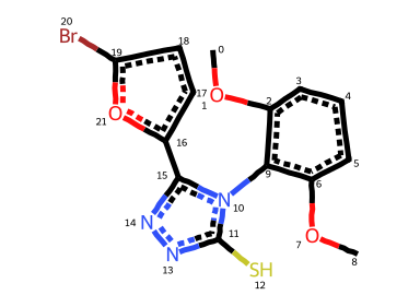 COc1cccc(OC)c1-n1c(S)nnc1-c1ccc(Br)o1